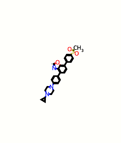 CS(=O)(=O)c1ccc(-c2ccc(-c3ccc(N4CCN(C5CC5)CC4)cc3)c3n[c]oc23)cc1